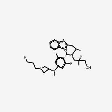 C[C@@H]1Cc2nc3ccccc3n2[C@@H](c2c(F)cc(NC3CN(CCCF)C3)cc2F)N1CC(F)(F)CO